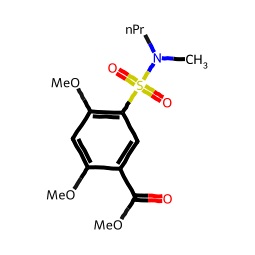 CCCN(C)S(=O)(=O)c1cc(C(=O)OC)c(OC)cc1OC